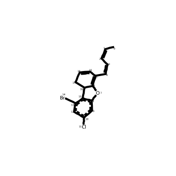 C/C=C\C=C/C1=C2Oc3cc(Cl)cc(Br)c3C2CC=C1